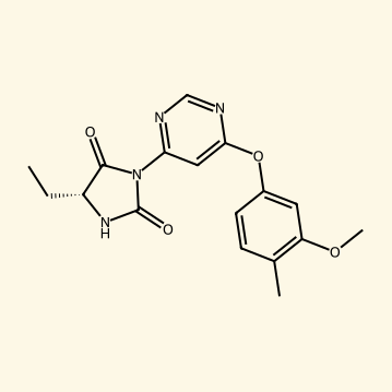 CC[C@H]1NC(=O)N(c2cc(Oc3ccc(C)c(OC)c3)ncn2)C1=O